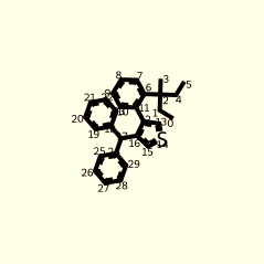 CCC(C)(CC)c1ccccc1-c1cscc1C(c1ccccc1)c1ccccc1